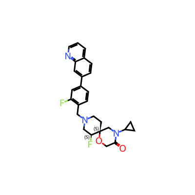 O=C1CO[C@@]2(CCN(Cc3ccc(-c4ccc5cccnc5c4)cc3F)C[C@@H]2F)CN1C1CC1